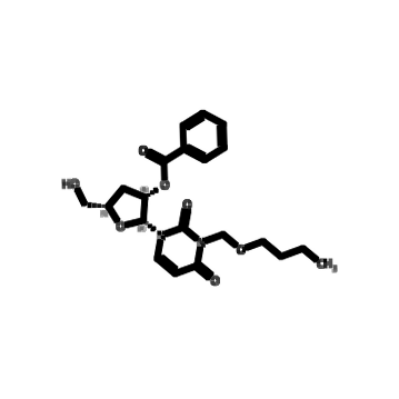 CCCCOCn1c(=O)ccn([C@@H]2O[C@H](CO)C[C@@H]2OC(=O)c2ccccc2)c1=O